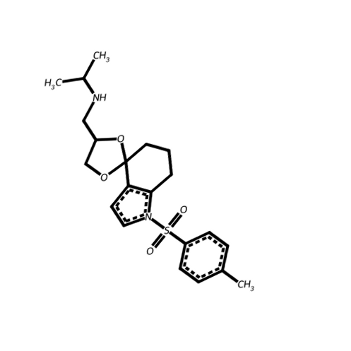 Cc1ccc(S(=O)(=O)n2ccc3c2CCCC32OCC(CNC(C)C)O2)cc1